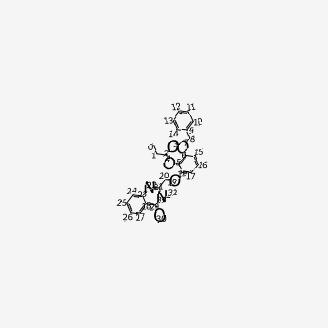 CCC(=O)Oc1c(OCc2ccccc2)cccc1OCc1nc2ccccc2c(=O)n1C